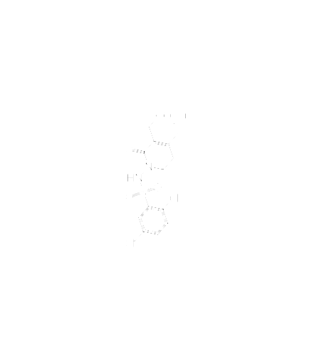 CCOC(=O)CC1=C(C)CCN(NS(=O)(=O)c2cc(Cl)ccc2Cl)C1=O